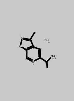 Cc1noc2cnc(C(C)N)cc12.Cl